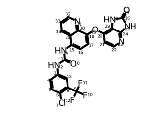 O=C(Nc1ccc(Cl)c(C(F)(F)F)c1)Nc1ccc(Oc2ccnc3[nH]c(=O)[nH]c23)c2ncccc12